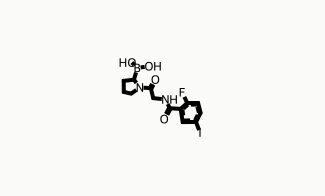 O=C(NCC(=O)N1CCCC1B(O)O)c1cc(I)ccc1F